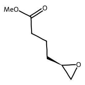 COC(=O)CCC[C@@H]1CO1